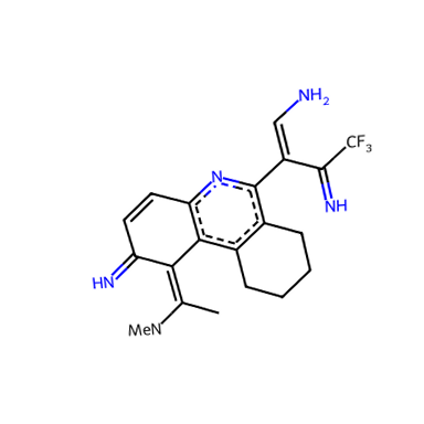 CN/C(C)=C1\C(=N)C=Cc2nc(/C(=C/N)C(=N)C(F)(F)F)c3c(c21)CCCC3